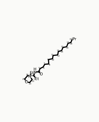 CCC(NC(=O)CCCCCCCCCCCCCCC(C)C)[N+]1(CC)CCOCC1